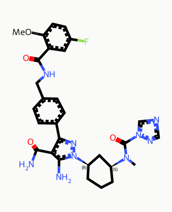 COc1ccc(F)cc1C(=O)NCc1ccc(-c2nn([C@@H]3CCC[C@H](N(C)C(=O)n4cncn4)C3)c(N)c2C(N)=O)cc1